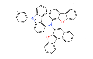 c1ccc(-n2c3ccccc3c3c(N(c4cccc5c4oc4ccccc45)c4cc5ccccc5c5c4oc4ccccc45)cccc32)cc1